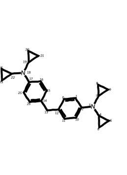 c1cc(N(C2CC2)C2CC2)ccc1Cc1ccc(N(C2CC2)C2CC2)cc1